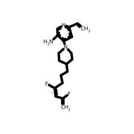 C=Cc1cc(N2CCC(CCC/C(F)=C\C(=C)F)CC2)c(N)cn1